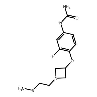 NC(=O)Nc1ccc(OC2CN(CCSC(F)(F)F)C2)c(F)c1